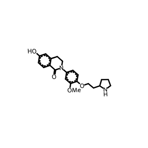 COc1cc(N2CCc3cc(O)ccc3C2=O)ccc1OCCC1CCCN1